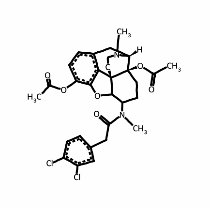 CC(=O)Oc1ccc2c3c1OC1C(N(C)C(=O)Cc4ccc(Cl)c(Cl)c4)CC[C@@]4(OC(C)=O)[C@@H](C2)N(C)CC[C@]314